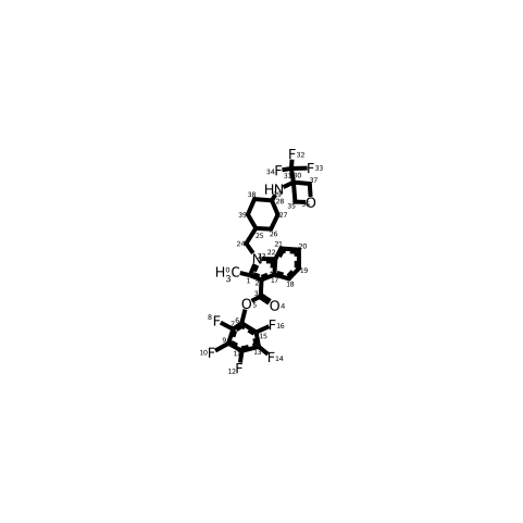 Cc1c(C(=O)Oc2c(F)c(F)c(F)c(F)c2F)c2ccccc2n1CC1CCC(NC2(C(F)(F)F)COC2)CC1